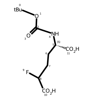 CC(C)(C)OC(=O)N[C@@H](CCC(F)C(=O)O)C(=O)O